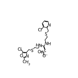 Cc1nc(CSCCN/C(=C\[N+](=O)[O-])NCCSCc2ncccc2Cl)c(Cl)o1